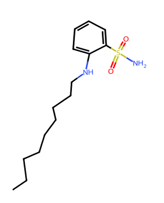 CCCCCCCCCNc1ccccc1S(N)(=O)=O